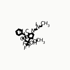 CCN(I)/C=N/c1cc(OC)c(C(O)(CS(=O)(=O)Cc2ccccc2)C(F)(F)F)cc1C